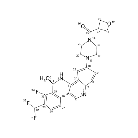 C[C@@H](Nc1ccnc2ccc(N3CCN(C(=O)C4COC4)CC3)cc12)c1cccc(C(F)F)c1F